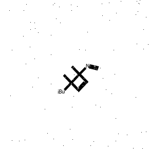 C=NC1(C)C=CC1(C)C(C)CC